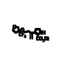 CCOC(=O)c1[nH]ccc1NCCOC1(C(F)(F)F)CCOC1